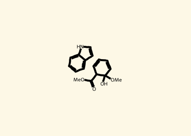 COC(=O)C1C=CC=CC1(O)OC.c1ccc2[nH]ccc2c1